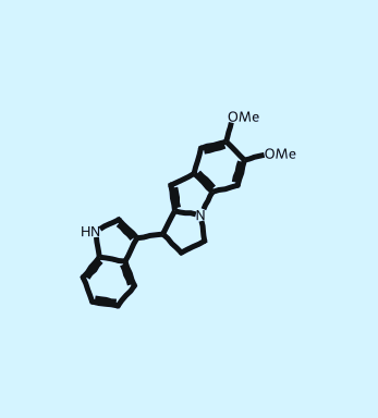 COc1cc2cc3n(c2cc1OC)CCC3c1c[nH]c2ccccc12